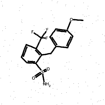 COc1ccc(Cc2c(C(F)(F)F)cccc2S(N)(=O)=O)cc1